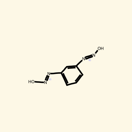 O/N=N/c1cccc(/N=N/O)c1